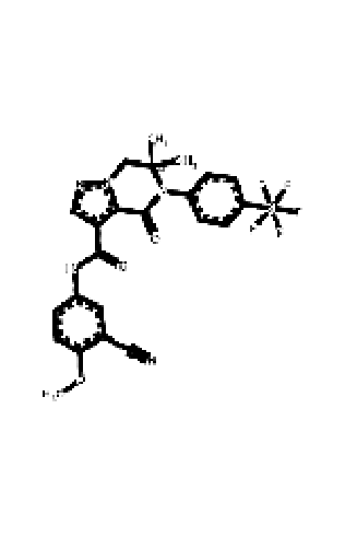 COc1ccc(NC(=O)c2cnn3c2C(=O)N(c2ccc(S(F)(F)(F)(F)F)cc2)[C@@](C)([SiH3])C3)cc1C#N